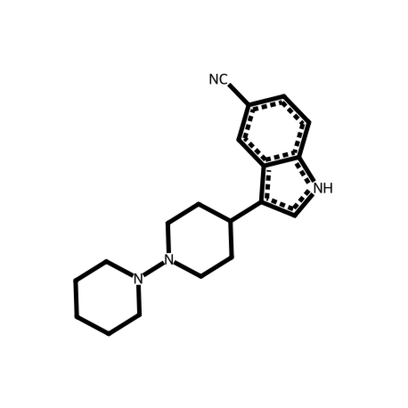 N#Cc1ccc2[nH]cc(C3CCN(N4CCCCC4)CC3)c2c1